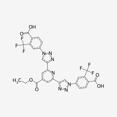 CCOC(=O)c1cc(-c2cn(-c3ccc(C(=O)O)c(C(F)(F)F)c3)nn2)nc(-c2cn(-c3ccc(C(=O)O)c(C(F)(F)F)c3)nn2)c1